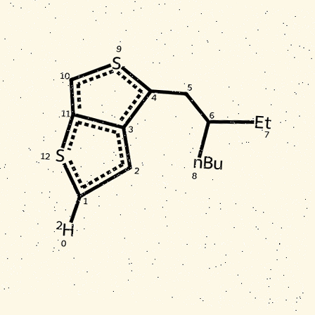 [2H]c1cc2c(CC(CC)CCCC)scc2s1